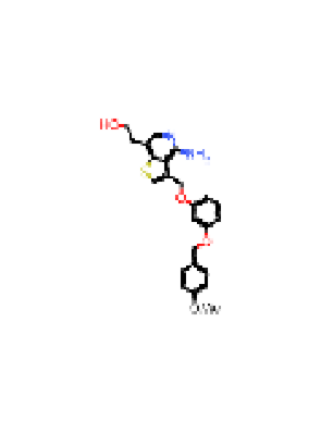 COc1ccc(COc2cccc(OCc3csc4c(CCO)cnc(N)c34)c2)cc1